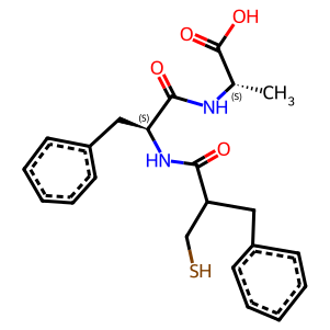 C[C@H](NC(=O)[C@H](Cc1ccccc1)NC(=O)C(CS)Cc1ccccc1)C(=O)O